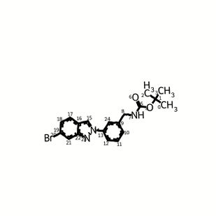 CC(C)(C)OC(=O)NCc1cccc(-n2cc3ccc(Br)cc3n2)c1